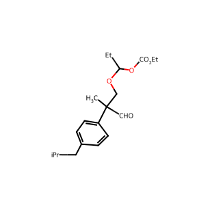 CCOC(=O)OC(CC)OCC(C)(C=O)c1ccc(CC(C)C)cc1